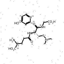 C[As](C)SC[C@H](NC(=O)CC[C@H](N)C(=O)O)C(=O)NCC(=O)O.Cl.c1ccncc1